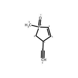 C#CC1C=CP(C)(=O)C1